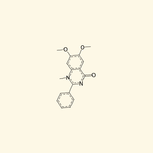 COc1cc2c(=O)nc(-c3ccccc3)n(C)c2cc1OC